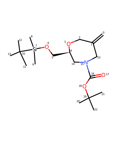 C=C1CO[C@H](CO[Si](C)(C)C(C)(C)C)CN(C(=O)OC(C)(C)C)C1